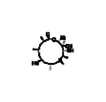 CC[C@H]1OC(=O)[C@H](C)C[C@H](C)C[C@H](O)C[C@@H](C)CN(C)[C@H](C)[C@@H](O)[C@]1(C)O